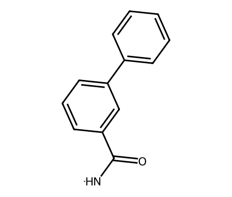 [NH]C(=O)c1cccc(-c2ccccc2)c1